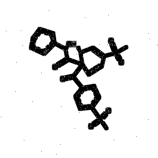 C[C@H]1C=C(S(C)(=O)=O)C=CC1(C(=O)c1ccc(S(C)(=O)=O)cc1)C(=O)C(O)c1ccccc1